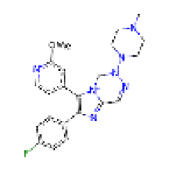 COc1cc(C2=C(c3ccc(F)cc3)N=C3C=NN(N4CCN(C)CC4)C[N+]32)ccn1